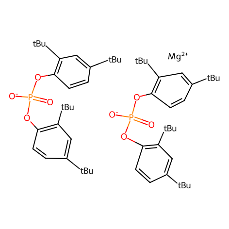 CC(C)(C)c1ccc(OP(=O)([O-])Oc2ccc(C(C)(C)C)cc2C(C)(C)C)c(C(C)(C)C)c1.CC(C)(C)c1ccc(OP(=O)([O-])Oc2ccc(C(C)(C)C)cc2C(C)(C)C)c(C(C)(C)C)c1.[Mg+2]